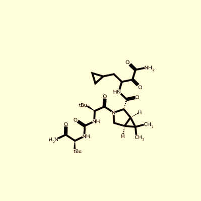 CC(C)(C)[C@H](NC(=O)N[C@H](C(=O)N1C[C@H]2[C@@H]([C@H]1C(=O)NC(CC1CC1)C(=O)C(N)=O)C2(C)C)C(C)(C)C)C(N)=O